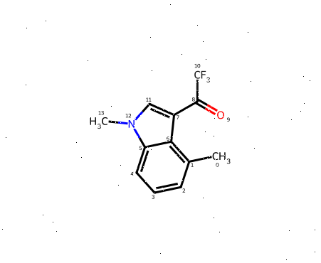 Cc1cccc2c1c(C(=O)C(F)(F)F)cn2C